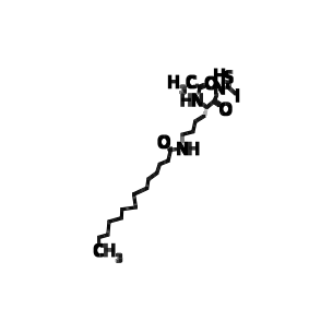 CCCCCCCCCCCCCC(=O)NCCCC[C@H](NC(C)=O)C(=O)NC(=S)I